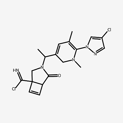 CC1=C(n2cc(Cl)cn2)N(C)CC(C(C)N2CC3(C(=N)Cl)C=CC3C2=O)=C1